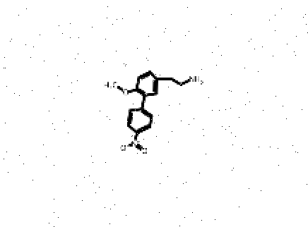 COc1ccc(CCN)cc1-c1ccc([N+](=O)[O-])cc1